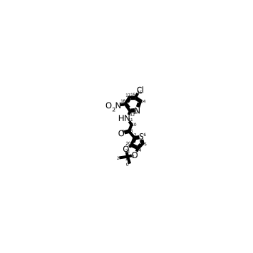 CC1(C)Oc2csc(C(=O)CNc3ncc(Cl)cc3[N+](=O)[O-])c2O1